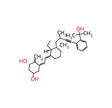 C=C1/C(=C\C=C2/CCC[C@]3(C)[C@@H]([C@@H](C)C#Cc4ccccc4C(C)(C)O)CC[C@@H]23)C[C@@H](O)C[C@@H]1O